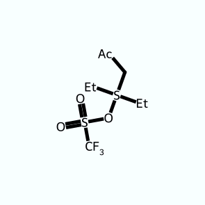 CCS(CC)(CC(C)=O)OS(=O)(=O)C(F)(F)F